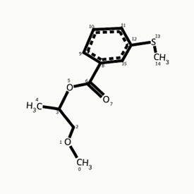 COCC(C)OC(=O)c1cccc(SC)c1